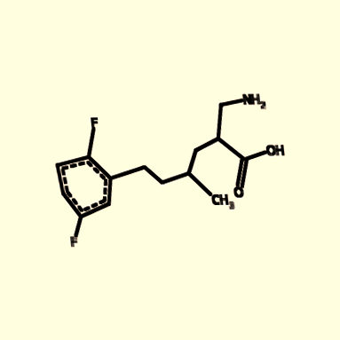 CC(CCc1cc(F)ccc1F)CC(CN)C(=O)O